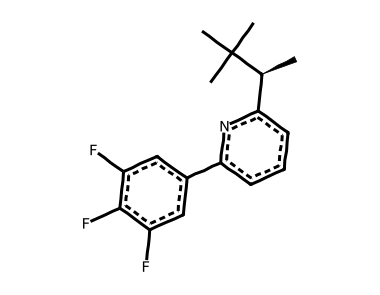 C[C@@H](c1cccc(-c2cc(F)c(F)c(F)c2)n1)C(C)(C)C